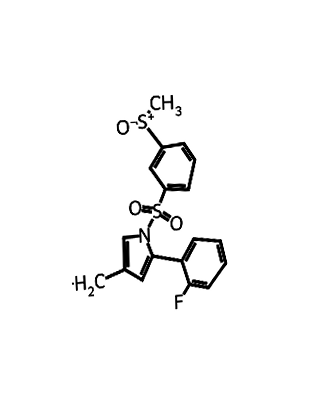 [CH2]c1cc(-c2ccccc2F)n(S(=O)(=O)c2cccc([S+](C)[O-])c2)c1